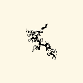 CCCSC(=S)SC1[C@H](NC(=O)C(=NOC)c2csc(NC(=O)CCl)n2)C(=O)N1S(=O)(=O)O